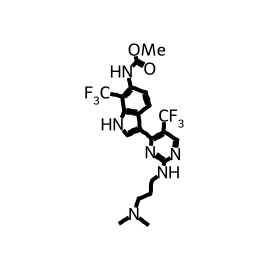 COC(=O)Nc1ccc2c(-c3nc(NCCCN(C)C)ncc3C(F)(F)F)c[nH]c2c1C(F)(F)F